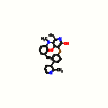 CCCCc1nc(O)c(Sc2ccc(-c3cccnc3C)cc2)c(O)c1N(C)c1cccc(C)c1